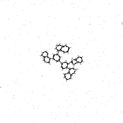 c1ccc2c(-c3cc(-c4ccc(-c5cncc6ccccc56)c(-c5nc6ccccc6o5)c4)cc(-c4cncc5ccccc45)c3)cncc2c1